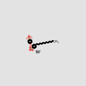 CCCCCCCCCCCCc1ccc(S(=O)(=O)[O-])c(Oc2ccc(S(=O)(=O)[O-])cc2)c1.[Na+].[Na+]